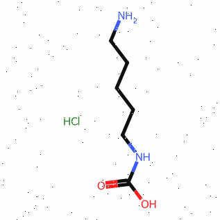 Cl.NCCCCCNC(=O)O